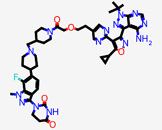 Cn1nc(N2CCC(=O)NC2=O)c2ccc(C3CCN(CC4CCN(C(=O)COCCc5cnc(-c6c(-c7nn(C(C)(C)C)c8ncnc(N)c78)noc6C6CC6)nc5)CC4)CC3)c(F)c21